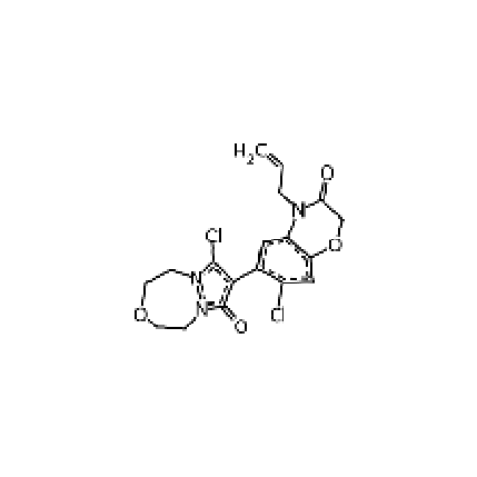 C=CCN1C(=O)COc2cc(Cl)c(-c3c(Cl)n4n(c3=O)CCOCC4)cc21